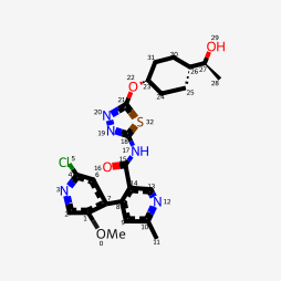 COc1cnc(Cl)cc1-c1cc(C)ncc1C(=O)Nc1nnc(O[C@H]2CC[C@@H]([C@H](C)O)CC2)s1